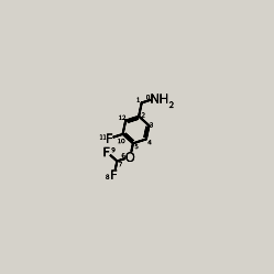 NCc1ccc(OC(F)F)c(F)c1